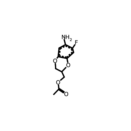 CC(=O)OCC1COc2cc(N)c(F)cc2O1